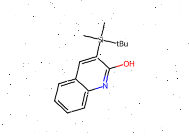 CC(C)(C)[Si](C)(C)c1cc2ccccc2nc1O